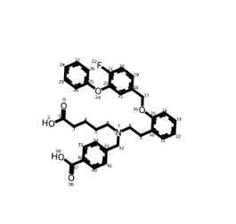 O=C(O)CCCCN(CCc1ccccc1OCc1ccc(F)c(Oc2ccccc2)c1)Cc1ccc(C(=O)O)cc1